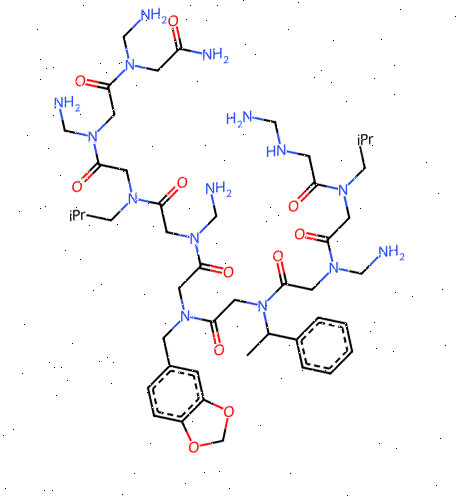 CC(C)CN(CC(=O)N(CN)CC(=O)N(CC(=O)N(CC(=O)N(CN)CC(=O)N(CC(=O)N(CN)CC(=O)N(CN)CC(N)=O)CC(C)C)Cc1ccc2c(c1)OCO2)C(C)c1ccccc1)C(=O)CNCN